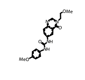 COCCn1cnc2ccc(NC(=O)Nc3ccc(OC)cc3)cc2c1=O